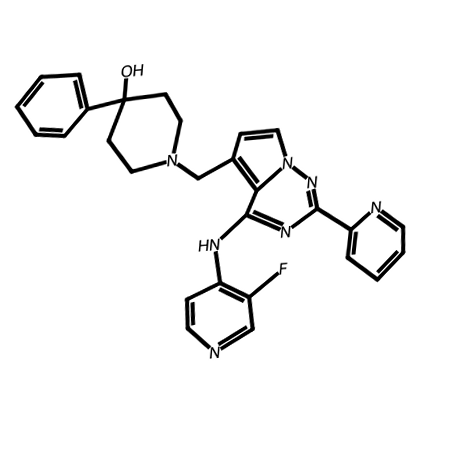 OC1(c2ccccc2)CCN(Cc2ccn3nc(-c4ccccn4)nc(Nc4ccncc4F)c23)CC1